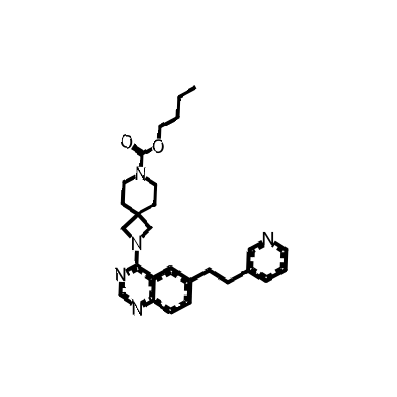 CCCCOC(=O)N1CCC2(CC1)CN(c1ncnc3ccc(CCc4cccnc4)cc13)C2